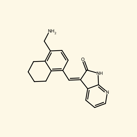 NCc1ccc(C=C2C(=O)Nc3ncccc32)c2c1CCCC2